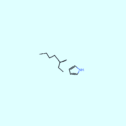 CCCCC(C)CC.c1cc[nH]c1